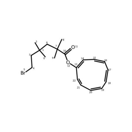 CC(C)(CCBr)CC(C)(C)C(=O)Oc1ccccccccc1